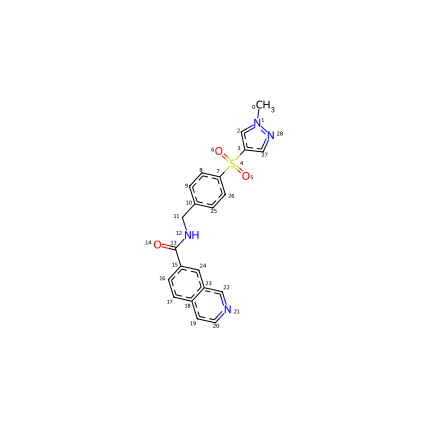 Cn1cc(S(=O)(=O)c2ccc(CNC(=O)c3ccc4ccncc4c3)cc2)cn1